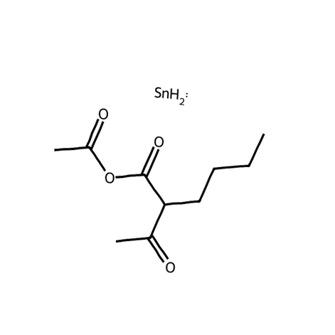 CCCCC(C(C)=O)C(=O)OC(C)=O.[SnH2]